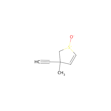 C#CC1(C)C=C[S+]([O-])C1